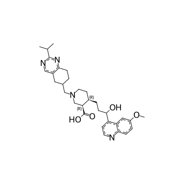 COc1ccc2nccc(C(O)CC[C@@H]3CCN(CC4CCc5nc(C(C)C)ncc5C4)C[C@@H]3C(=O)O)c2c1